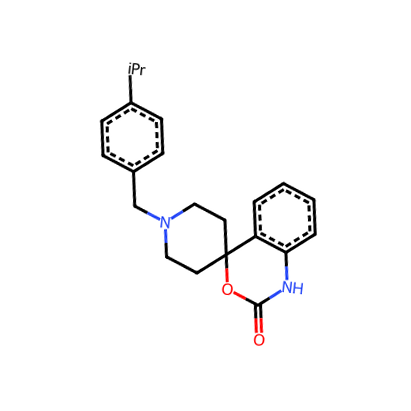 CC(C)c1ccc(CN2CCC3(CC2)OC(=O)Nc2ccccc23)cc1